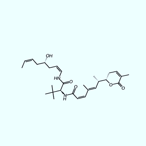 C/C=C\C[C@H](O)C/C=C\NC(=O)[C@@H](NC(=O)/C=C\C(C)=C\[C@H](C)[C@@H]1CC=C(C)C(=O)O1)C(C)(C)C